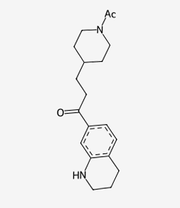 CC(=O)N1CCC(CCC(=O)c2ccc3c(c2)NCCC3)CC1